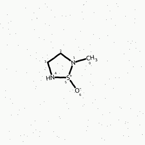 CN1CCN[S+]1[O-]